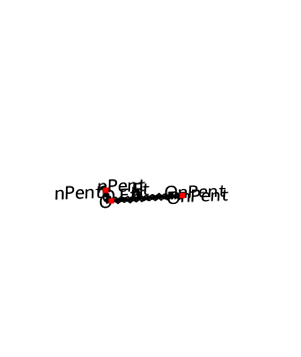 CCCCCC(CCCCC)CCOC(=O)CCCCCCCCCC(CCCCCCCCCC(=O)OCCC(CCCCC)CCCCC)CN(CC)CC